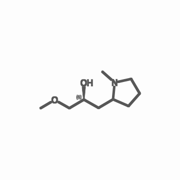 COC[C@@H](O)CC1CCCN1C